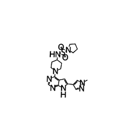 Cn1cc(-c2cc3c(N4CCC(NS(=O)(=O)N5CCCC5)CC4)ncnc3[nH]2)cn1